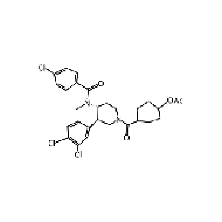 CC(=O)OC1CCC(C(=O)N2CC[C@@H](N(C)C(=O)c3ccc(Cl)cc3)[C@H](c3ccc(Cl)c(Cl)c3)C2)CC1